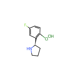 Cl.Fc1ccc(Cl)c([C@H]2CCCN2)c1